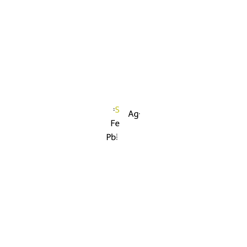 [Ag].[Fe].[Pb].[S]